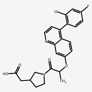 CC(Oc1ccc2c(-c3ccc(F)cc3Cl)ccnc2c1)C(=O)N1CCC(CC(=O)O)C1